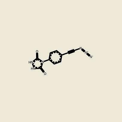 [N-]=[N+]=NC#Cc1ccc(-n2c(=O)[nH][nH]c2=O)cc1